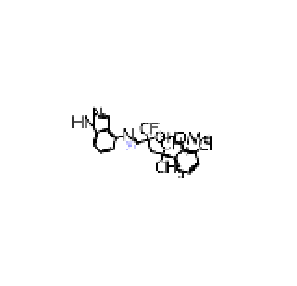 COc1c(Cl)cccc1C(C)(C)CC(O)(/C=N/c1cccc2[nH]ncc12)C(F)(F)F